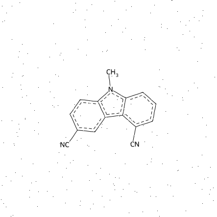 Cn1c2ccc(C#N)cc2c2c(C#N)cccc21